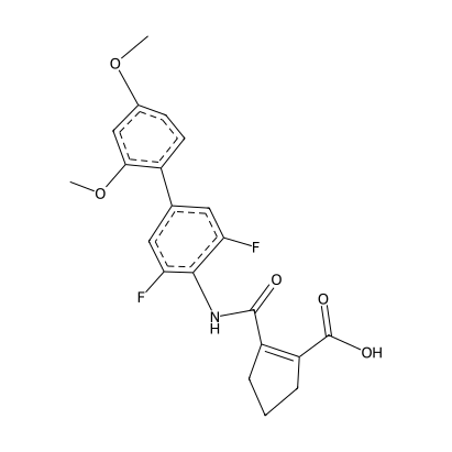 COc1ccc(-c2cc(F)c(NC(=O)C3=C(C(=O)O)CCC3)c(F)c2)c(OC)c1